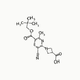 Cc1nc(N2CC(C(=O)O)C2)c(C#N)cc1C(=O)OCC(C)(C)C